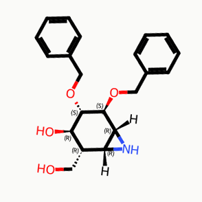 OC[C@@H]1[C@@H](O)[C@H](OCc2ccccc2)[C@@H](OCc2ccccc2)[C@@H]2N[C@H]12